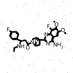 CCNC(CC(=O)N1CC2CCC1CN2c1nc(N)c2cc(OC)c(OC)c(F)c2n1)c1ccc(F)cc1